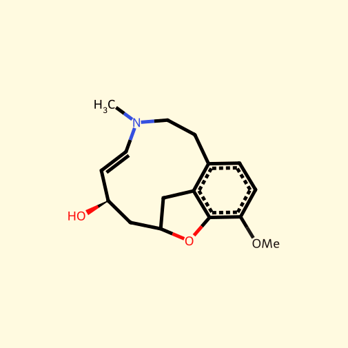 COc1ccc2c3c1OC(C3)C[C@@H](O)/C=C/N(C)CC2